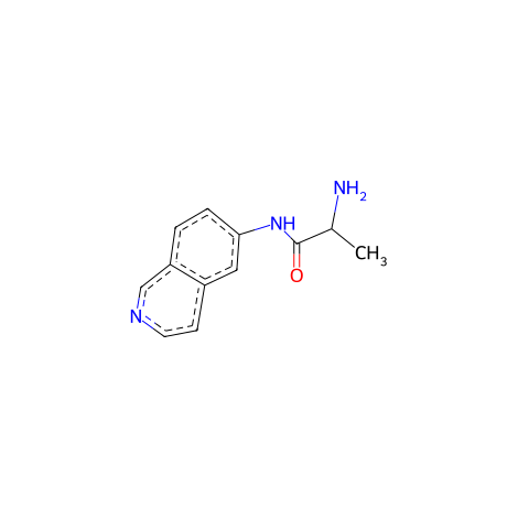 CC(N)C(=O)Nc1ccc2cnccc2c1